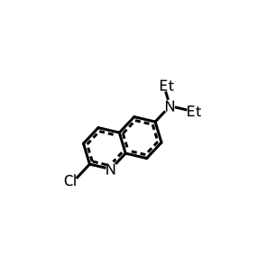 CCN(CC)c1ccc2nc(Cl)ccc2c1